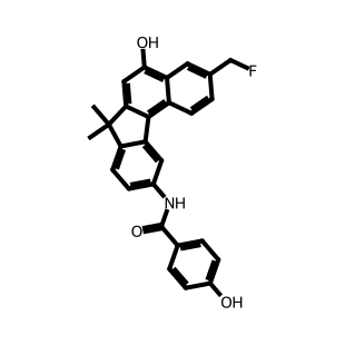 CC1(C)c2ccc(NC(=O)c3ccc(O)cc3)cc2-c2c1cc(O)c1cc(CF)ccc21